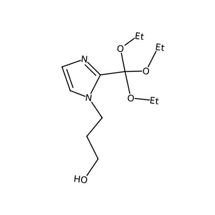 CCOC(OCC)(OCC)c1nccn1CCCO